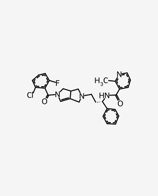 Cc1ncccc1C(=O)N[C@@H](CCN1CC2=CN(C(=O)c3c(F)cccc3Cl)CC2C1)c1ccccc1